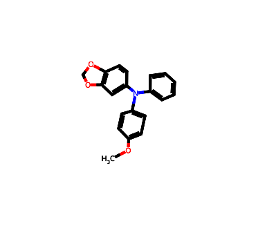 COc1ccc(N(c2ccccc2)c2ccc3c(c2)OCO3)cc1